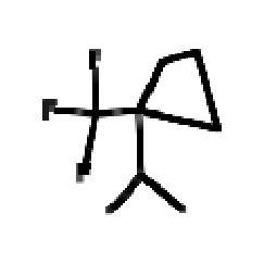 CC(C)C1(C(F)(F)F)CCC1